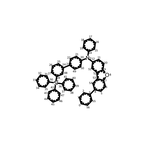 c1ccc(-c2ccc3oc4ccc(N(c5ccccc5)c5ccc(-c6cccc([Si](c7ccccc7)(c7ccccc7)c7ccccc7)c6)cc5)cc4c3c2)cc1